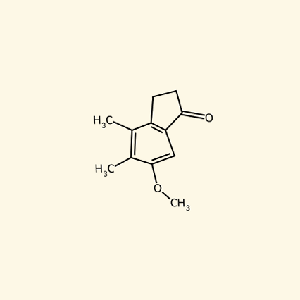 COc1cc2c(c(C)c1C)CCC2=O